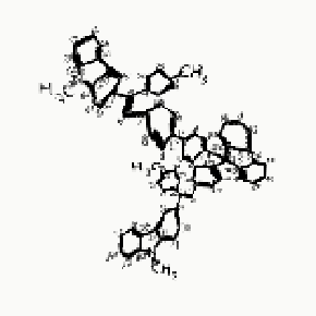 Cc1ccc(/C(=C\c2ccc(-c3ccc(C4(c5ccc(/C=C(\c6ccc(C)cc6)c6ccc7c(c6)c6ccccc6n7C)cc5)c5ccccc5-c5ccccc54)cc3)cc2)c2ccc3c(c2)c2ccccc2n3C)cc1